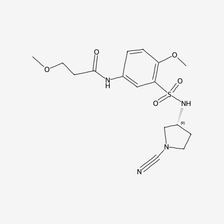 COCCC(=O)Nc1ccc(OC)c(S(=O)(=O)N[C@@H]2CCN(C#N)C2)c1